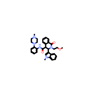 COCCN1C(=O)c2ccccc2C(C(=O)Nc2ccccc2N2CCN(C)CC2)C1c1cn(C)c2ccccc12